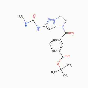 CNC(=O)Nc1cc2n(n1)CCN2C(=O)c1cccc(C(=O)OC(C)(C)C)c1